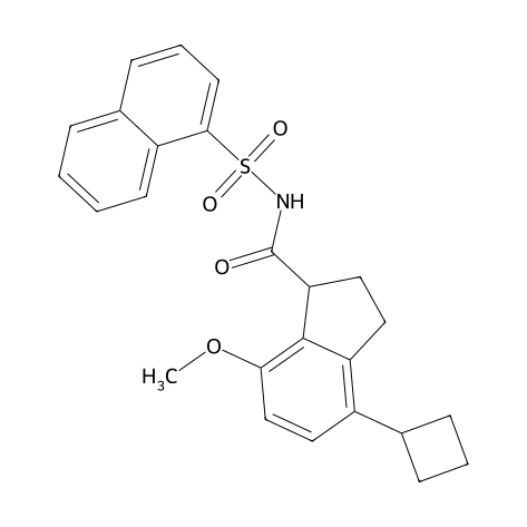 COc1ccc(C2CCC2)c2c1C(C(=O)NS(=O)(=O)c1cccc3ccccc13)CC2